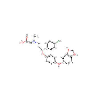 CN(CCC(Oc1ccc(Oc2ccc3c(c2)OCO3)cc1)c1ccc(F)cc1)CC(=O)O